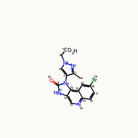 Cc1nn(CC(=O)O)cc1-n1c(=O)[nH]c2cnc3ccc(Br)cc3c21